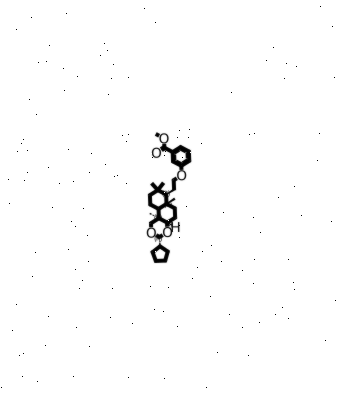 COC(=O)c1cccc(OCC[C@@H]2C(C)(C)CCC3[C@]4(C)CO[C@@H](C5CCCC5)O[C@@H]4CC[C@]32C)c1